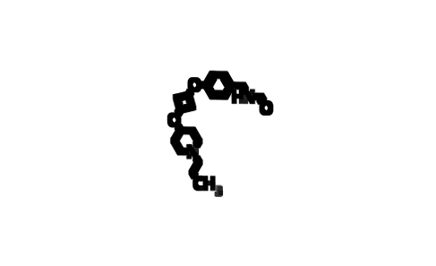 CCCN1CCC(OC2CC(Oc3ccc(CNC=O)cc3)C2)CC1